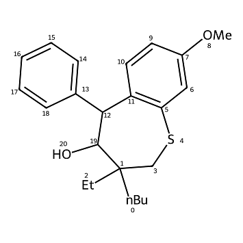 CCCCC1(CC)CSc2cc(OC)ccc2C(c2ccccc2)C1O